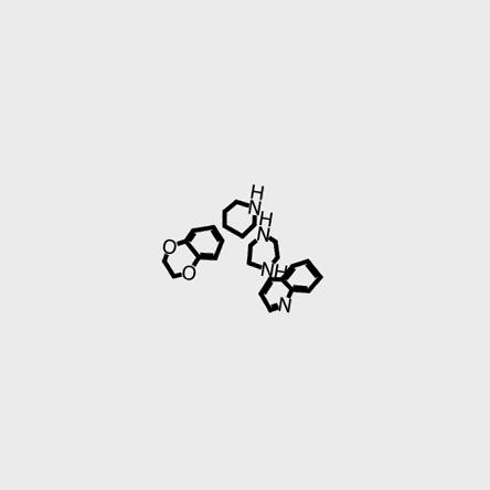 C1CCNCC1.C1CNCCN1.c1ccc2c(c1)OCCO2.c1ccc2ncccc2c1